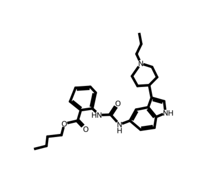 CCCCOC(=O)c1ccccc1NC(=O)Nc1ccc2[nH]cc(C3CCN(CCC)CC3)c2c1